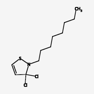 CCCCCCCCN1SC=CC1(Cl)Cl